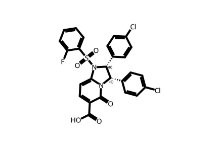 O=C(O)c1ccc2n(c1=O)[C@@H](c1ccc(Cl)cc1)[C@@H](c1ccc(Cl)cc1)N2S(=O)(=O)c1ccccc1F